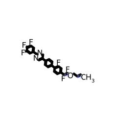 C/C=C/CO/C(F)=C(\F)c1ccc(-c2ccc(-c3cnc(-c4cc(F)c(F)c(F)c4)nc3)cc2)c(F)c1